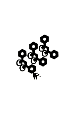 O=C(CC(=O)c1ccccc1)c1ccccc1.O=C(CC(=O)c1ccccc1)c1ccccc1.O=C(CC(=O)c1ccccc1)c1ccccc1.[Ir].[Ir]